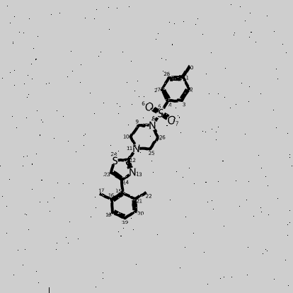 Cc1ccc(S(=O)(=O)N2CCN(c3nc(-c4c(C)cccc4C)cs3)CC2)cc1